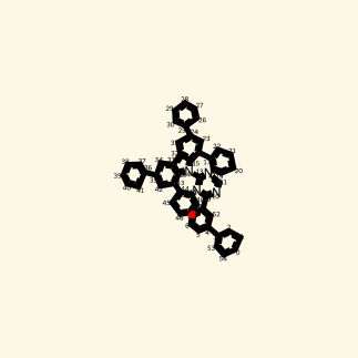 c1ccc(-c2cccc(-c3ncnc(-n4c5c(-c6ccccc6)cc(-c6ccccc6)cc5c5cc(-c6ccccc6)cc(-c6ccccc6)c54)n3)c2)cc1